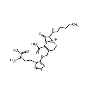 CCCCCNC1C(=O)N2C(C(=O)O)=C(CSc3nnnn3CCN(C)C(=O)O)CS[C@H]12